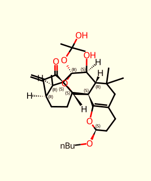 C=C1C(=O)[C@]23[C@H](C)[C@H]1CC[C@H]2[C@@]12CO[C@]3(OC(C)(C)O)[C@@H](O)[C@@H]1C(C)(C)CC1=C2O[C@H](OCCCC)CC1